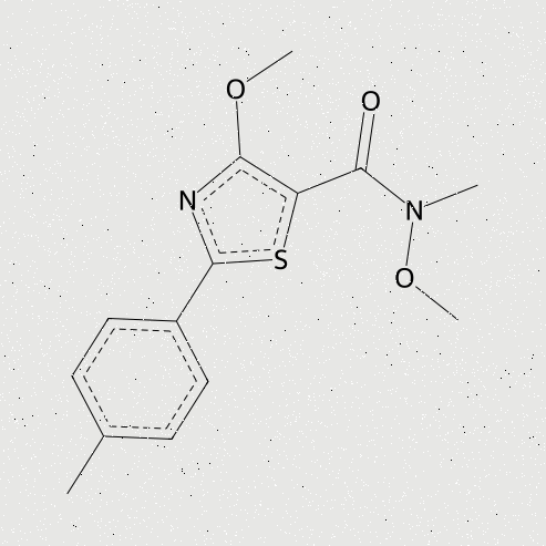 COc1nc(-c2ccc(C)cc2)sc1C(=O)N(C)OC